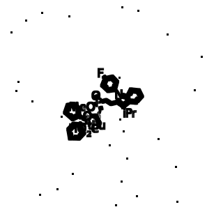 COP(=O)(CCc1c(C(C)C)c2ccccc2n1-c1ccc(F)cc1)C[C@H](CC(=O)O)O[Si](c1ccccc1)(c1ccccc1)C(C)(C)C